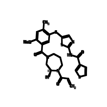 C=CC(=O)N1CCCN(C(=O)c2cc(Sc3cnc(NC(=O)c4ccsc4)s3)c(C)cc2OC)C[C@@H]1C(C)C